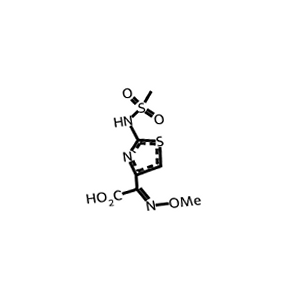 CO/N=C(/C(=O)O)c1csc(NS(C)(=O)=O)n1